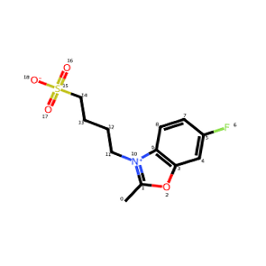 Cc1oc2cc(F)ccc2[n+]1CCCCS(=O)(=O)[O-]